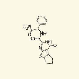 NC(=O)[C@H](NC(=O)c1nc2sc3c(c2c(=O)[nH]1)CCC3)c1ccccc1